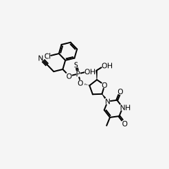 Cc1cn([C@H]2C[C@H](OP(O)(=S)OC(CC#N)c3ccccc3Cl)[C@@H](CO)O2)c(=O)[nH]c1=O